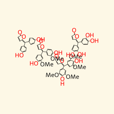 COc1cc(C(=C2C=CC(=O)O2)c2cc(OC)c(O)c(OC)c2)cc(OC)c1O.COc1cc(C(=C2C=CC(=O)O2)c2ccc(O)c(OC)c2)ccc1O.O=C1C=CC(=C(c2ccc(O)c(O)c2)c2ccc(O)c(O)c2)O1.O=C1C=CC(=C(c2ccc(O)cc2)c2ccc(O)cc2)O1